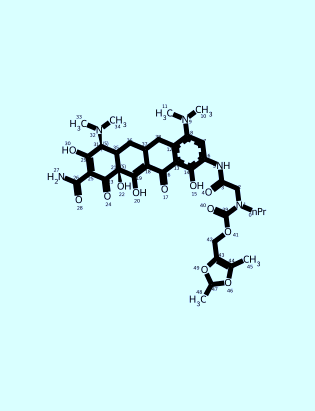 CCCN(CC(=O)Nc1cc(N(C)C)c2c(c1O)C(=O)C1=C(O)[C@]3(O)C(=O)C(C(N)=O)=C(O)[C@@H](N(C)C)C3CC1C2)C(=O)OCC1=C(C)OC(C)O1